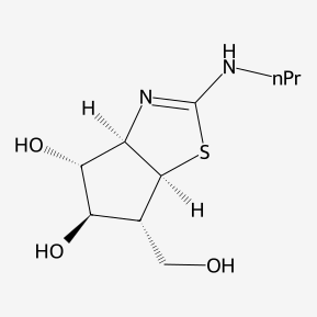 CCCNC1=N[C@@H]2[C@@H](O)[C@H](O)[C@@H](CO)[C@@H]2S1